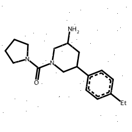 CCc1ccc(C2CC(N)CN(C(=O)N3CCCC3)C2)cc1